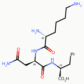 CC(C)C[C@H](NC(=O)[C@@H](CC(N)=O)NC(=O)[C@H](N)CCCCN)C(=O)O